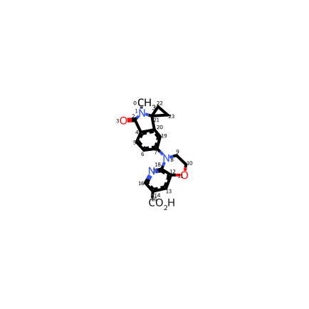 CN1C(=O)c2ccc(N3CCOc4cc(C(=O)O)cnc43)cc2C12CC2